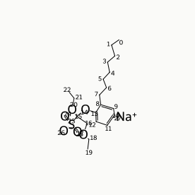 CCCCCCCCc1ccccc1OC(COCC)(OCC)S(=O)(=O)[O-].[Na+]